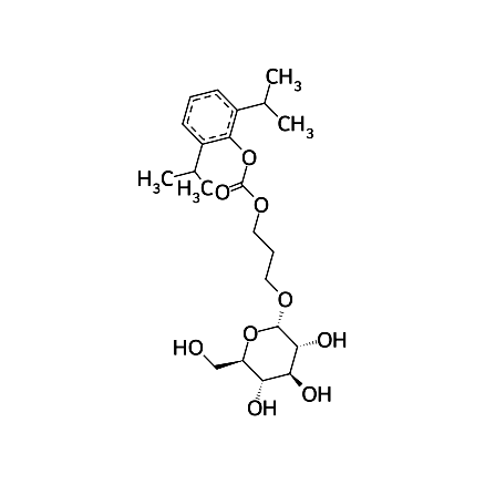 CC(C)c1cccc(C(C)C)c1OC(=O)OCCCO[C@H]1O[C@H](CO)[C@@H](O)[C@H](O)[C@H]1O